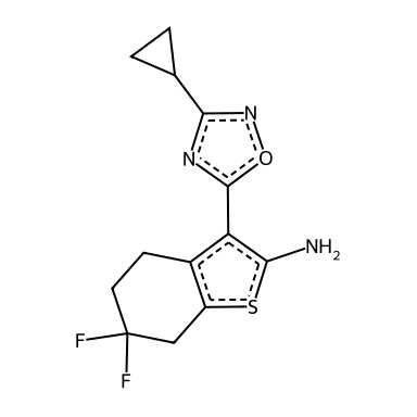 Nc1sc2c(c1-c1nc(C3CC3)no1)CCC(F)(F)C2